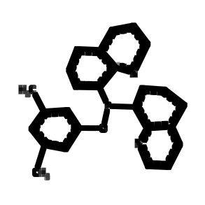 Cc1cc(C)cc(OP(c2cccc3cccnc23)c2cccc3cccnc23)c1